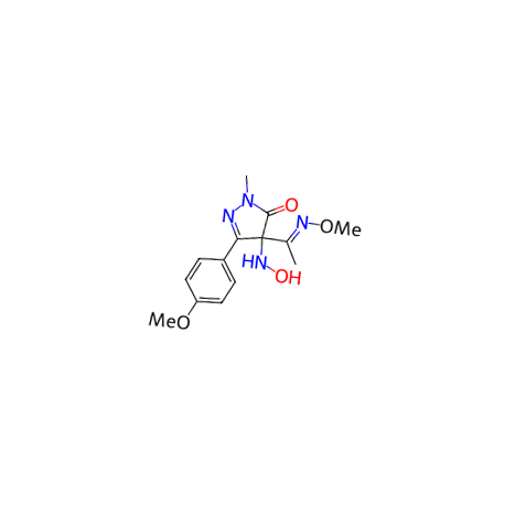 CON=C(C)C1(NO)C(=O)N(C)N=C1c1ccc(OC)cc1